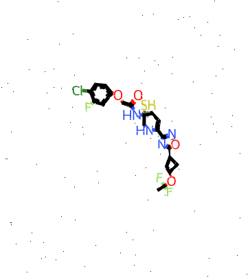 CC(F)(F)O[C@H]1C[C@@H](c2nc(C3=CC[C@](S)(NC(=O)COc4ccc(Cl)c(F)c4)CN3)no2)C1